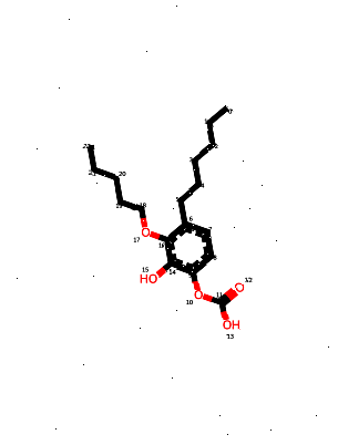 CCCCCCc1ccc(OC(=O)O)c(O)c1OCCCCC